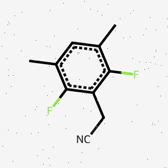 Cc1cc(C)c(F)c(CC#N)c1F